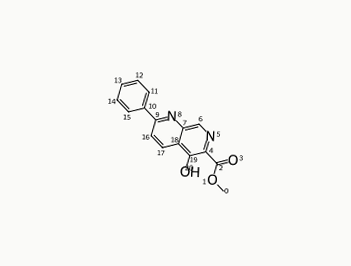 COC(=O)c1ncc2nc(-c3ccccc3)ccc2c1O